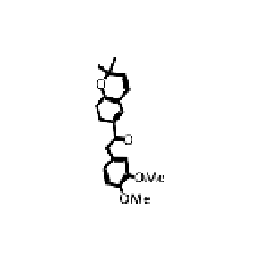 COc1ccc(CC(=O)C2=CC3=C(CC2)OC(C)(C)C=C3)cc1OC